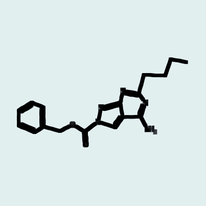 CCCCc1nc(N)c2cn(C(=O)OCc3ccccc3)nc2n1